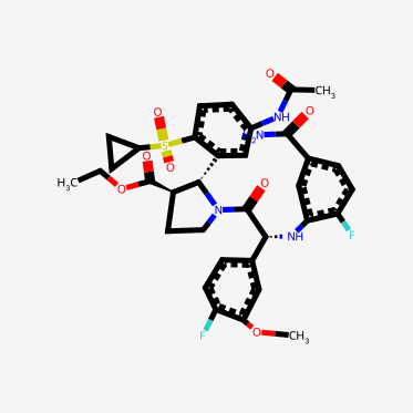 CCOC(=O)[C@@H]1CCN(C(=O)[C@H](Nc2cc(C(N)=O)ccc2F)c2ccc(F)c(OC)c2)[C@H]1c1cc(NC(C)=O)ccc1S(=O)(=O)C1CC1